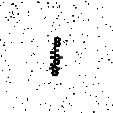 CCc1ccccc1NS(=O)(=O)c1ccc2[nH]cc(C(=O)NCc3ccc4c(c3)OCO4)c(=O)c2c1